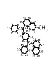 Cc1ccc2c(N(c3ccccc3)c3ccc(N(c4ccccc4)c4cccc5ccccc45)cc3)cccc2c1